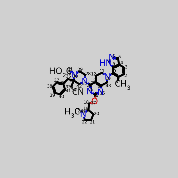 Cc1ccc2cn[nH]c2c1N1CCc2c(nc(OCC3CCCN3C)nc2N2CCN(C(=O)O)C(CC#N)(Cc3ccccc3)C2)C1